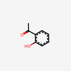 CC(=O)c1cc[c]cc1O